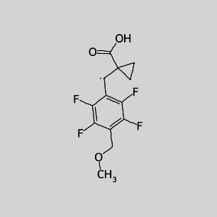 COCc1c(F)c(F)c([CH]C2(C(=O)O)CC2)c(F)c1F